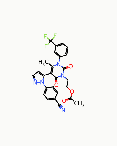 CC(=O)OCCn1c(=O)c(-c2ccnn2-c2ccc(C#N)cc2)c(C)n(-c2cccc(C(F)(F)F)c2)c1=O